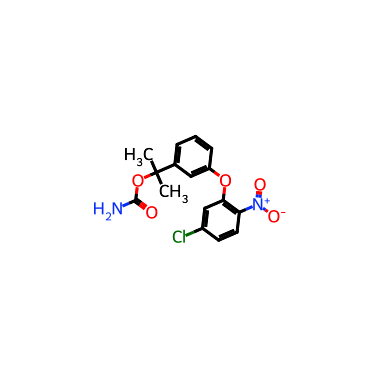 CC(C)(OC(N)=O)c1cccc(Oc2cc(Cl)ccc2[N+](=O)[O-])c1